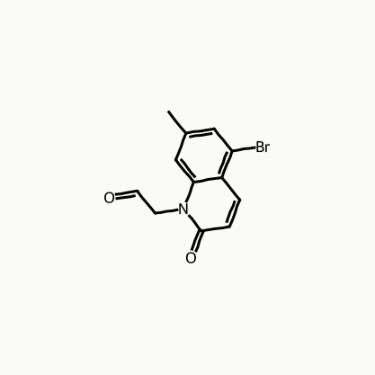 Cc1cc(Br)c2ccc(=O)n(CC=O)c2c1